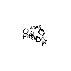 CSc1cccc(-c2cc(OC(=O)NC3CCCCC3)ccc2OC(F)F)c1